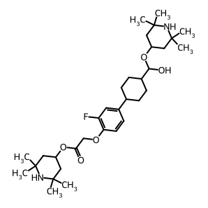 CC1(C)CC(OC(=O)COc2ccc(C3CCC(C(O)OC4CC(C)(C)NC(C)(C)C4)CC3)cc2F)CC(C)(C)N1